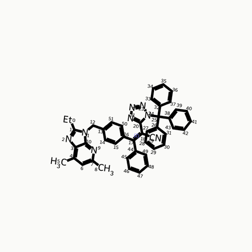 CCc1nc2c(C)cc(C)nc2n1Cc1ccc(/C(=C(/C#N)c2nnnn2C(c2ccccc2)(c2ccccc2)c2ccccc2)c2ccccc2)cc1